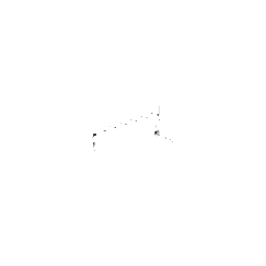 CCC(CCCCCCCCCCCC(=O)OCCC(C)C)CCC(=O)OCCC(C)C